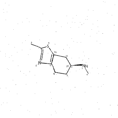 CN[C@H]1CCc2nc(C)sc2C1